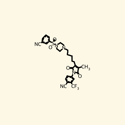 CC1=C(CCCCCN2CCN(S(=O)(=O)c3cccc(C#N)c3)CC2)C(=O)N(c2ccc(C#N)c(C(F)(F)F)c2)C1=O